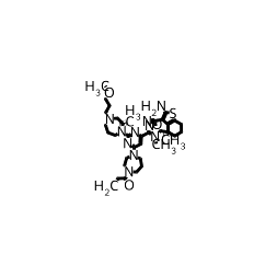 C=CC(=O)N1CCCN(c2cc(C3=NOC([C@@]4(C)CCCc5sc(N)c(C#N)c54)N3C)nc(N3CCCN(CCCOC)C[C@@H]3C)n2)CC1